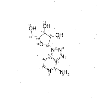 Nc1nccc2c1nnn2[C@@H]1O[C@H](CO)C(O)C1O